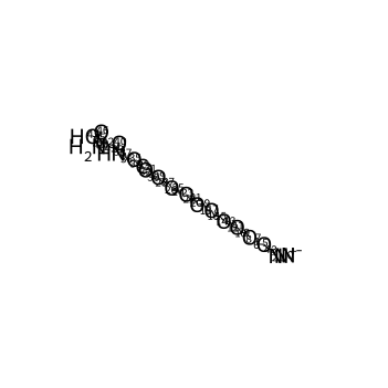 [N-]=[N+]=NCCOCCOCCOCCOCCOCCOCCOCCOCCOCCOCCOCCNC(=O)CC[C@H](N)C(=O)O